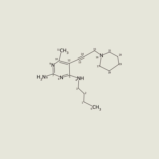 CCCCNc1nc(N)nc(C)c1C#CCN1CCCCC1